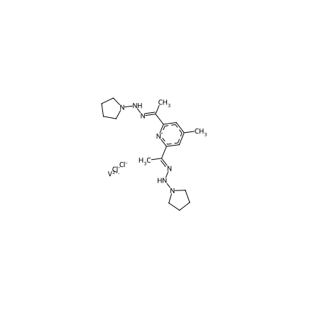 CC(=NNN1CCCC1)c1cc(C)cc(C(C)=NNN2CCCC2)n1.[Cl-].[Cl-].[V+2]